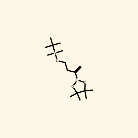 C=C(CCO[Si](C)(C)C(C)(C)C)B1OC(C)(C)C(C)(C)O1